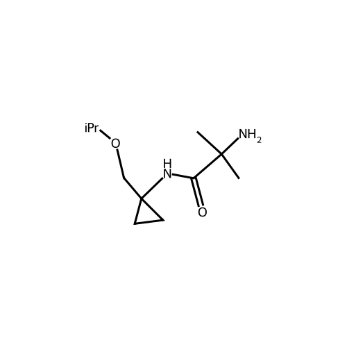 CC(C)OCC1(NC(=O)C(C)(C)N)CC1